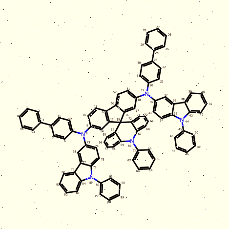 c1ccc(-c2ccc(N(c3ccc4c(c3)C3(c5cc(N(c6ccc(-c7ccccc7)cc6)c6ccc7c(c6)c6ccccc6n7-c6ccccc6)ccc5-4)c4ccccc4N(c4ccccc4)c4ccccc43)c3ccc4c(c3)c3ccccc3n4-c3ccccc3)cc2)cc1